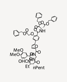 CCCCC[C@@H](C(=O)NCNC(=O)c1ccc(-c2ccc(C(=O)N[C@@H](CC(=O)OCc3ccccc3)C(=O)OCc3ccccc3)c(OCC(=O)OCc3ccccc3)c2)o1)[C@@H](CC)N(C=O)OC(=O)c1ccc(OC)c(OC)c1